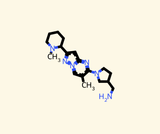 Cc1cn2nc(C3CCCCN3C)cc2nc1N1CCC(CN)C1